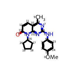 COc1ccc(Nc2nc(C)c3ccc(=O)n(C4CCCC4)c3n2)cc1